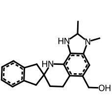 CC1Nc2c(cc(CO)c3c2NC2(CC3)Cc3ccccc3C2)N1C